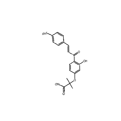 CSc1ccc(/C=C/C(=O)c2ccc(OC(C)(C)C(=O)N=O)cc2O)cc1